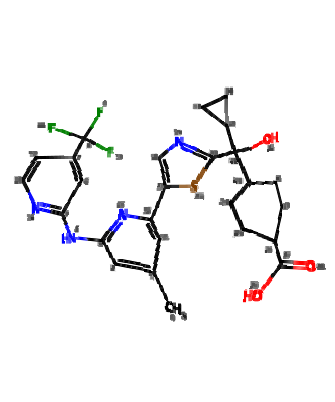 Cc1cc(Nc2cc(C(F)(F)F)ccn2)nc(-c2cnc(C(O)(C3CCC(C(=O)O)CC3)C3CC3)s2)c1